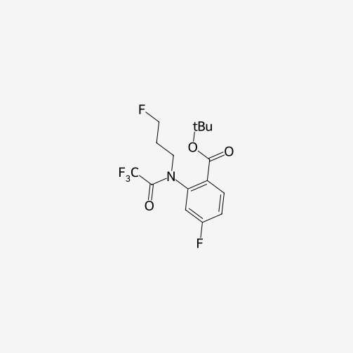 CC(C)(C)OC(=O)c1ccc(F)cc1N(CCCF)C(=O)C(F)(F)F